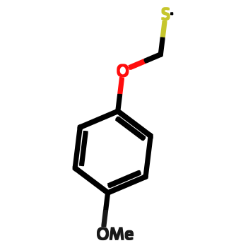 COc1ccc(OC[S])cc1